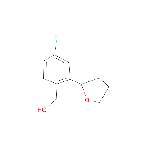 OCc1ccc(F)cc1C1CCCO1